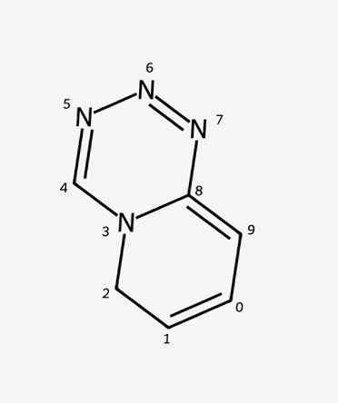 C1=CCN2C=NN=NC2=C1